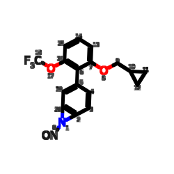 O=NN1c2ccc(-c3c(OCC4CC4)cccc3OC(F)(F)F)cc21